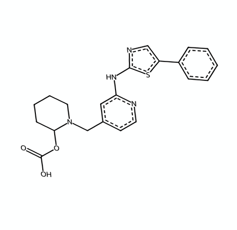 O=C(O)OC1CCCCN1Cc1ccnc(Nc2ncc(-c3ccccc3)s2)c1